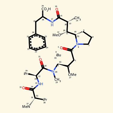 CC[C@H](C)[C@@H](C(CC(=O)N1CCC[C@H]1[C@H](OC)[C@@H](C)C(=O)NC(Cc1ccccc1)C(=O)O)OC)N(C)C(=O)[C@@H](NC(=O)[C@@H](NC)C(C)C)C(C)C